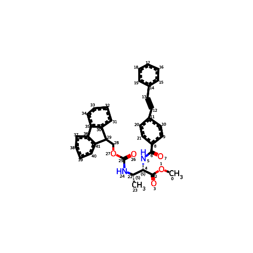 COC(=O)[C@@H](NC(=O)c1ccc(C#Cc2ccccc2)cc1)[C@H](C)NC(=O)OCC1c2ccccc2-c2ccccc21